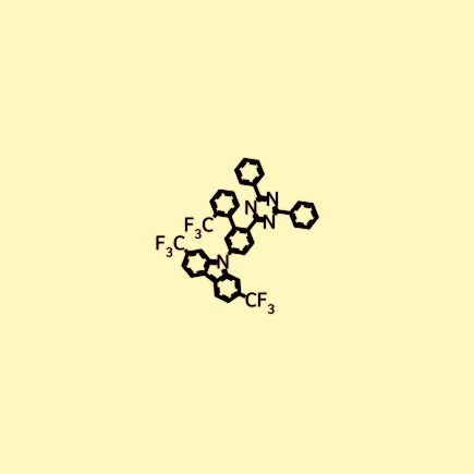 FC(F)(F)c1ccc2c3ccc(C(F)(F)F)cc3n(-c3ccc(-c4nc(-c5ccccc5)nc(-c5ccccc5)n4)c(-c4ccccc4C(F)(F)F)c3)c2c1